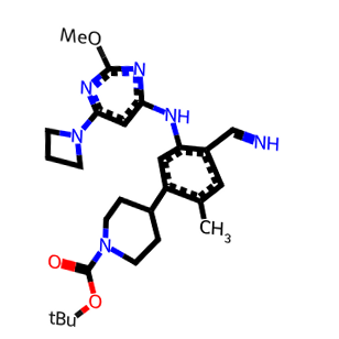 COc1nc(Nc2cc(C3CCN(C(=O)OC(C)(C)C)CC3)c(C)cc2C=N)cc(N2CCC2)n1